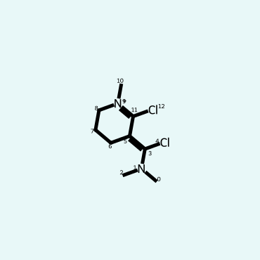 CN(C)/C(Cl)=C1\CCC[N+](C)=C1Cl